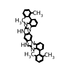 Cc1cccc(C)c1-c1cccc2c1nc1[nH]c3cc4[nH]c5nc6c(-c7c(C)cccc7C)cccc6n5c4cc3n12